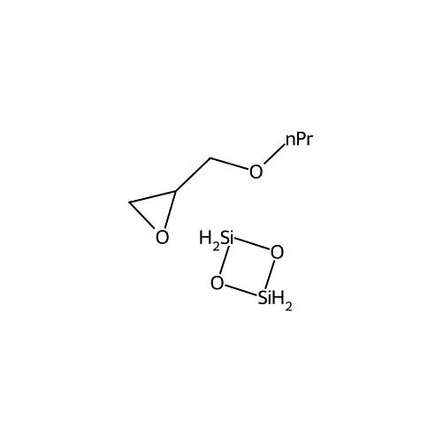 CCCOCC1CO1.O1[SiH2]O[SiH2]1